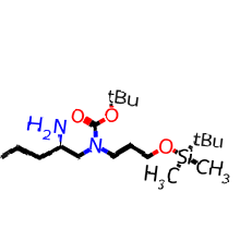 CC(C)CC[C@@H](N)CN(CCCO[Si](C)(C)C(C)(C)C)C(=O)OC(C)(C)C